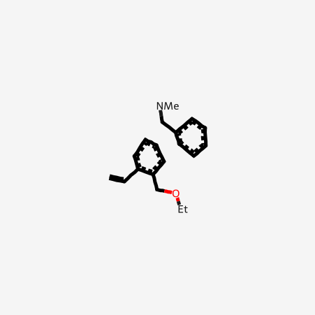 C=Cc1ccccc1COCC.CNCc1ccccc1